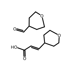 O=C(O)C=CC1CCOCC1.O=CC1CCOCC1